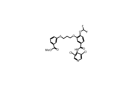 COC(=O)c1cccc(SCCCOc2cc(C(=O)Nc3c(Cl)cncc3Cl)ccc2OC(F)F)c1